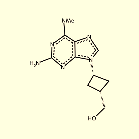 CNc1nc(N)nc2c1ncn2[C@H]1C[C@@H](CO)C1